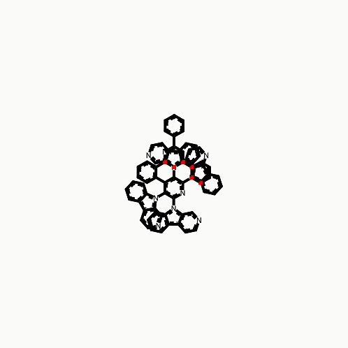 c1ccc(-c2cc(-c3ccccc3)nc(-c3ccccc3-c3c(-n4c5ccccc5c5ccncc54)c(-n4c5ccccc5c5ccncc54)nc(-n4c5ccccc5c5ncccc54)c3-n3c4ccccc4c4ccncc43)n2)cc1